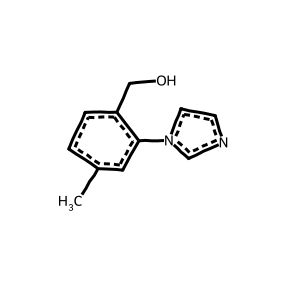 Cc1ccc(CO)c(-n2ccnc2)c1